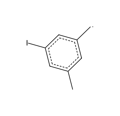 [CH2]c1cc(C)cc(I)c1